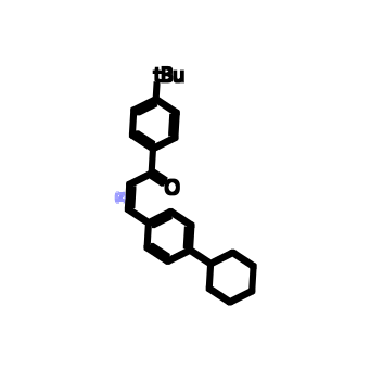 CC(C)(C)c1ccc(C(=O)/C=C\c2ccc(C3CCCCC3)cc2)cc1